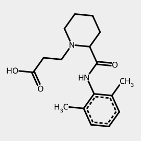 Cc1cccc(C)c1NC(=O)C1CCCCN1CCC(=O)O